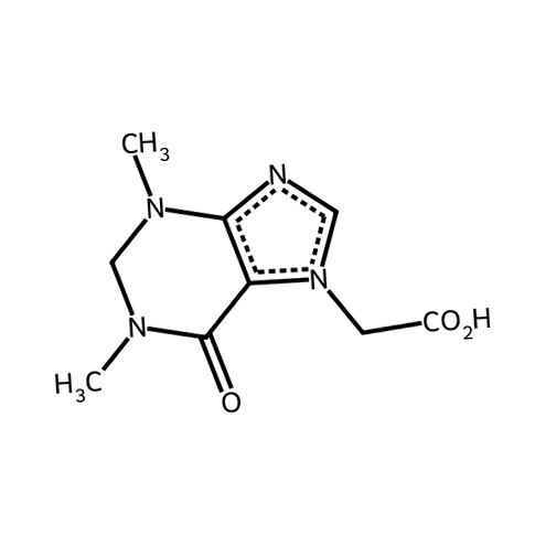 CN1CN(C)c2ncn(CC(=O)O)c2C1=O